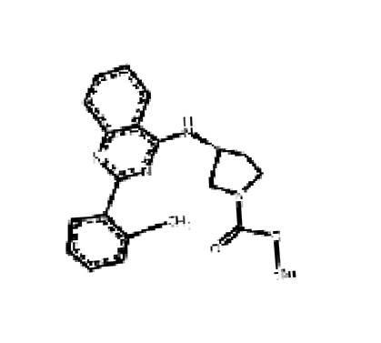 Cc1ccccc1-c1nc(N[C@H]2CCN(C(=O)OC(C)(C)C)C2)c2ccccc2n1